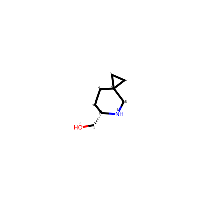 OC[C@@H]1CCC2(CC2)CN1